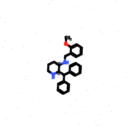 COc1ccccc1CN[C@@H]1CCCN[C@@H]1C(c1ccccc1)c1ccccc1